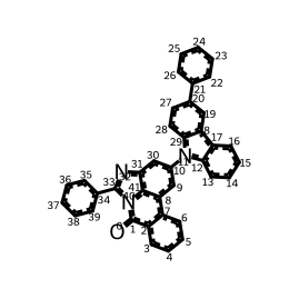 O=c1c2ccccc2c2cc(-n3c4ccccc4c4cc(-c5ccccc5)ccc43)cc3nc(-c4ccccc4)n1c32